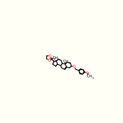 COc1ccc(COC2CCC3(C)C(=CCC4C3CCC3(C)C4CCC3C3(C)OCCO3)C2)cc1